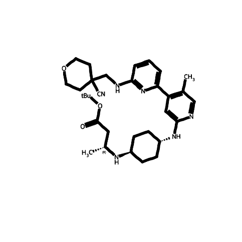 Cc1cnc(N[C@H]2CC[C@H](N[C@H](C)CC(=O)OC(C)(C)C)CC2)cc1-c1cccc(NCC2(C#N)CCOCC2)n1